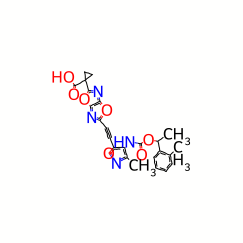 Cc1ccccc1C(C)OC(=O)Nc1c(C)noc1C#Cc1nc2oc(C3(C(=O)O)CC3)nc2o1